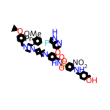 COc1cc(CN2CCN(C3CC4(C3)CN(c3ccc(C(=O)NS(=O)(=O)c5ccc(NCC6CCC(C)(O)CC6)c([N+](=O)[O-])c5)c(Oc5cnc6[nH]cc(F)c6c5)c3)C4)[C@H](c3ccccc3C(C)C)C2)ccc1OC1CC1